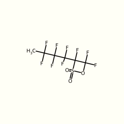 CC(F)(F)C(F)(F)C(F)(F)C1(F)C(F)(F)OS1(=O)=O